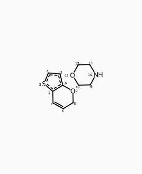 C1=Cc2sccc2OC1.C1COCCN1